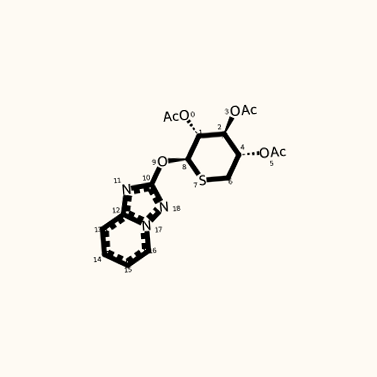 CC(=O)O[C@@H]1[C@@H](OC(C)=O)[C@H](OC(C)=O)CS[C@H]1Oc1nc2ccccn2n1